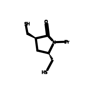 CC(C)N1C(=O)[C@H](CS)C[C@H]1CS